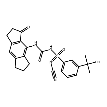 CC(C)(O)c1cccc(S(=O)(=NC#N)NC(=O)Nc2c3c(cc4c2C(=O)CC4)CCC3)c1